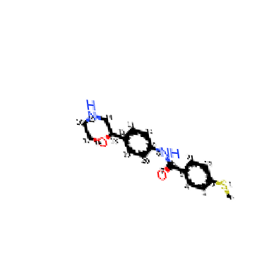 CSc1ccc(C(=O)Nc2ccc(C3CNCCO3)cc2)cc1